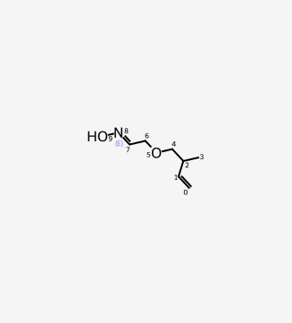 C=CC(C)COC/C=N/O